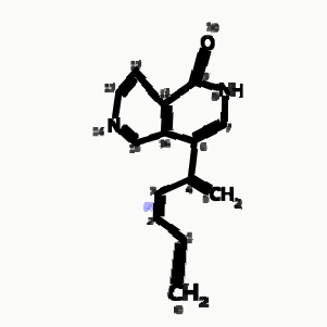 C=C/C=C\C(=C)c1c[nH]c(=O)c2ccncc12